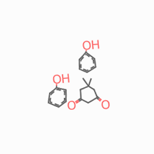 CC1(C)CC(=O)CC(=O)C1.Oc1ccccc1.Oc1ccccc1